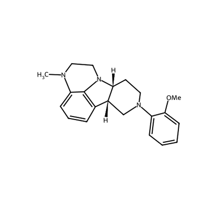 COc1ccccc1N1CC[C@@H]2[C@H](C1)c1cccc3c1N2CCN3C